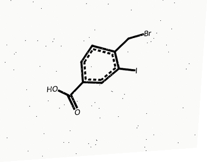 O=C(O)c1ccc(CBr)c(I)c1